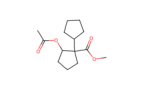 COC(=O)C1(C2CCCC2)CCCC1OC(C)=O